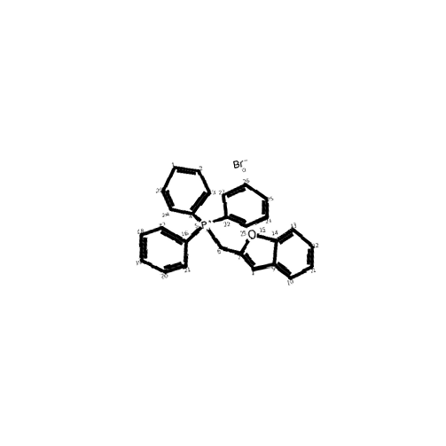 [Br-].c1ccc([P+](Cc2cc3ccccc3o2)(c2ccccc2)c2ccccc2)cc1